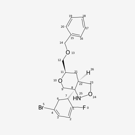 FC1=CC=C(Br)CC1[C@]12CO[C@@H](COCc3ccccc3)C[C@H]1CON2